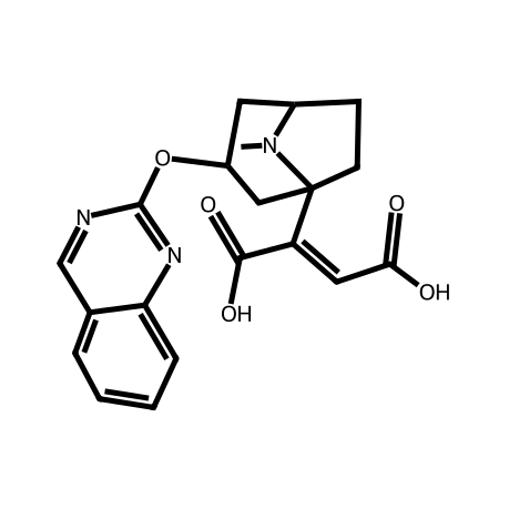 CN1C2CCC1(/C(=C\C(=O)O)C(=O)O)CC(Oc1ncc3ccccc3n1)C2